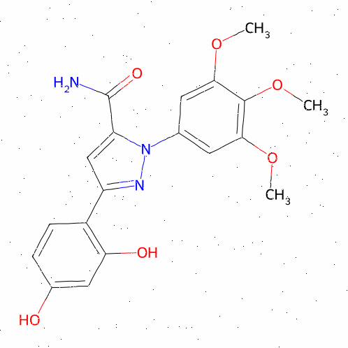 COc1cc(-n2nc(-c3ccc(O)cc3O)cc2C(N)=O)cc(OC)c1OC